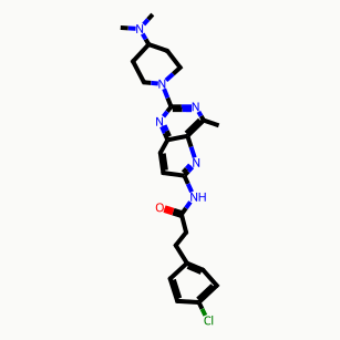 Cc1nc(N2CCC(N(C)C)CC2)nc2ccc(NC(=O)CCc3ccc(Cl)cc3)nc12